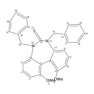 COc1cccc2c1-c1c(OC)cccc1N(Cc1ccccc1)C(=S)N2Cc1ccccc1